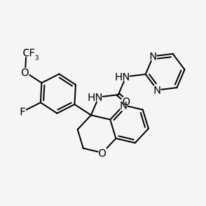 O=C(Nc1ncccn1)NC1(c2ccc(OC(F)(F)F)c(F)c2)CCOc2cccnc21